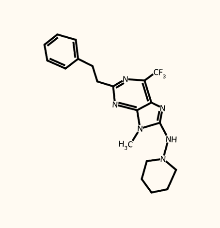 Cn1c(NN2CCCCC2)nc2c(C(F)(F)F)nc(CCc3ccccc3)nc21